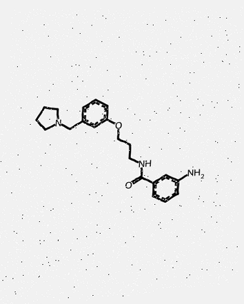 Nc1cccc(C(=O)NCCCOc2cccc(CN3CCCC3)c2)c1